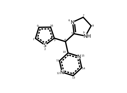 c1csc(C(C2=NCCN2)c2cnccn2)c1